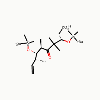 C=C[C@@H](C)[C@H](O[Si](C)(C)C(C)(C)C)[C@@H](C)C(=O)C(C)(C)[C@H](CC(=O)O)O[Si](C)(C)C(C)(C)C